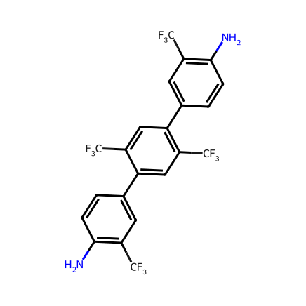 Nc1ccc(-c2cc(C(F)(F)F)c(-c3ccc(N)c(C(F)(F)F)c3)cc2C(F)(F)F)cc1C(F)(F)F